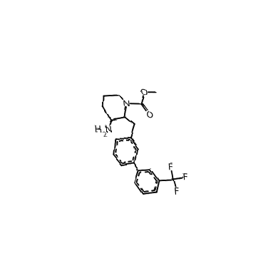 COC(=O)N1CCCC(N)C1Cc1cccc(-c2cccc(C(F)(F)F)c2)c1